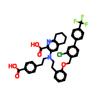 O=C(O)c1ccc(CCN(CCc2ccccc2OCc2ccc(-c3ccc(C(F)(F)F)cc3)cc2Cl)c2cc3c(nc2C(=O)O)CCCC3)cc1